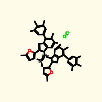 Cc1ccc(C2=Cc3c(cc(C)c(C)c3-c3cc(C)c(C)c(C)c3)[CH]2[Zr+2]([CH]2C(c3ccc(C)o3)=Cc3c2cc(C)c(C)c3-c2cc(C)c(C)c(C)c2)=[Si](C)C)o1.[Cl-].[Cl-]